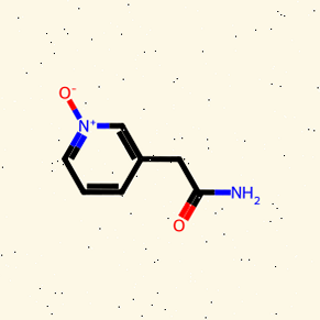 NC(=O)[CH]c1ccc[n+]([O-])c1